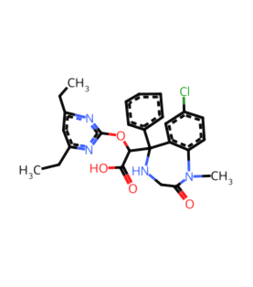 CCc1cc(CC)nc(OC(C(=O)O)C2(c3ccccc3)NCC(=O)N(C)c3ccc(Cl)cc32)n1